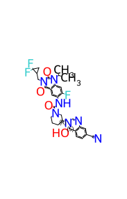 CC(C)n1c(=O)n(CC2CC2(F)F)c(=O)c2cc(NC(=O)N3CCC[C@@H](N4C=Nc5cc(C#N)ccc5[C@@H]4O)C3)c(F)cc21